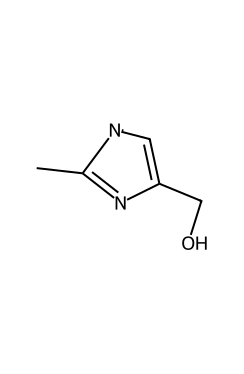 CC1=NC(CO)=C[N]1